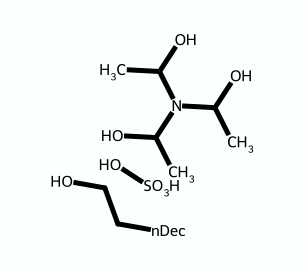 CC(O)N(C(C)O)C(C)O.CCCCCCCCCCCCO.O=S(=O)(O)O